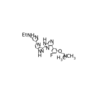 CCNCc1cncc(-c2ccc3[nH]nc(-c4nc5c(-c6cc(F)cc(OCCN(C)C)c6)cncc5[nH]4)c3n2)c1